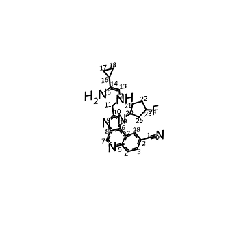 N#Cc1ccc2ncc3nc(CN/C=C(\N)C4CC4)n(C4CCC(F)C4)c3c2c1